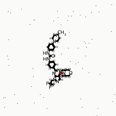 CN1CCN(c2ccc(NC(=O)Nc3ccc(-c4nc(N5C6COCC5COC6)c5cnn(CC(F)(F)F)c5n4)cc3)cc2)CC1